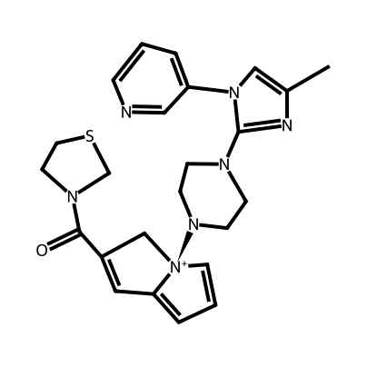 Cc1cn(-c2cccnc2)c(N2CCN([N@@+]34C=CC=C3C=C(C(=O)N3CCSC3)C4)CC2)n1